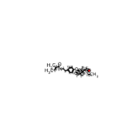 CCC(C)C(=O)NCCc1ccc(OS(=O)(=O)C(F)(F)C(F)(F)C(F)(F)S(=O)(=O)CC)cc1